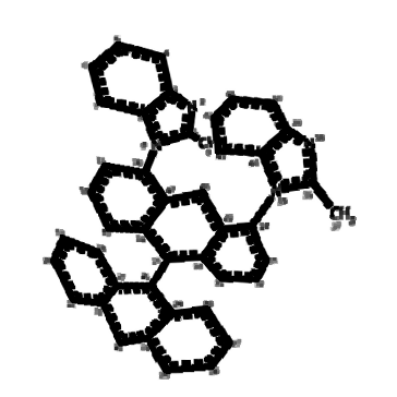 Cc1nc2ccccc2n1-c1cccc2c(-c3c4ccccc4cc4ccccc34)c3cccc(-n4c(C)nc5ccccc54)c3cc12